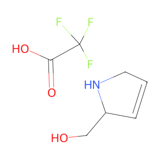 O=C(O)C(F)(F)F.OCC1C=CCN1